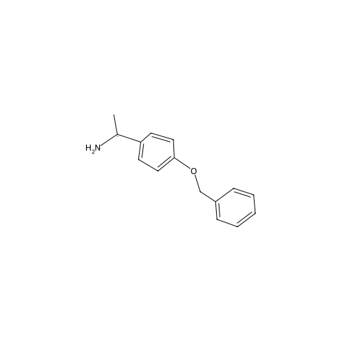 C[C](N)c1ccc(OCc2ccccc2)cc1